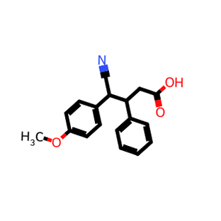 COc1ccc(C(C#N)C(CC(=O)O)c2ccccc2)cc1